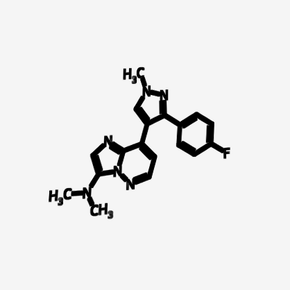 CN(C)c1cnc2c(-c3cn(C)nc3-c3ccc(F)cc3)ccnn12